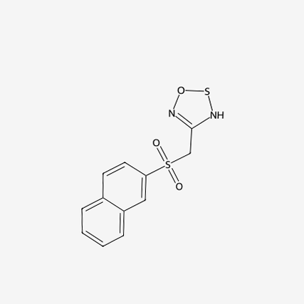 O=S(=O)(CC1=NOSN1)c1ccc2ccccc2c1